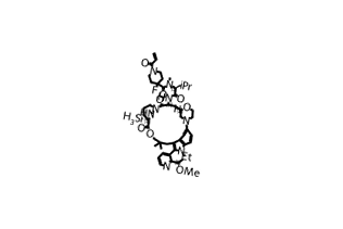 C=CC(=O)N1CCC(F)(C(=O)N(C)[C@H](C(=O)N[C@H]2C[C@H]3CN(CCO3)c3ccc4c(c3)c(c(-c3cccnc3[C@H](C)OC)n4CC)CC(C)(C)COC(=O)[C@@]3([SiH3])CCCN(N3)C2=O)C(C)C)CC1